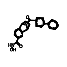 O=C(NO)c1ccc2c(c1)C1CCC2N1C(=O)c1ccc(-c2ccccc2)cc1